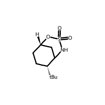 CC(C)(C)[C@@H]1CC[C@H]2CC1NS(=O)(=O)O2